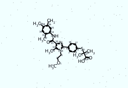 COCCn1c(-c2ccc(SC(C)(C)C(=O)O)cc2)nc(C(=O)Nc2cc(C)c(C)cc2C)c1C